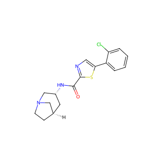 O=C(N[C@@H]1C[C@H]2CCN(C2)C1)c1ncc(-c2ccccc2Cl)s1